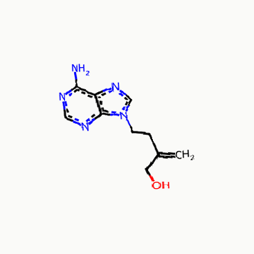 C=C(CO)CCn1cnc2c(N)ncnc21